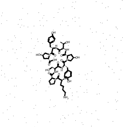 C[C@@H](O)[C@H](NC(=O)[C@@H]1C[C@@H](O)CN1C(=O)[C@H](Cc1ccc(O)cc1)NC(=O)[C@H](CO)NC(=O)[C@@H]1CCCN1C(=O)[C@@H](N)CCCCN)C(=O)N[C@@H](Cc1ccc(O)cc1)C(=O)N1C[C@H](O)C[C@H]1C(=O)O